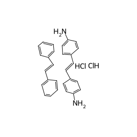 C(=C\c1ccccc1)/c1ccccc1.Cl.Cl.Nc1ccc(/C=C/c2ccc(N)cc2)cc1